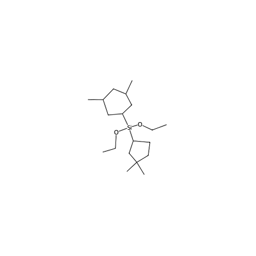 CCO[Si](OCC)(C1CC(C)CC(C)C1)C1CCC(C)(C)C1